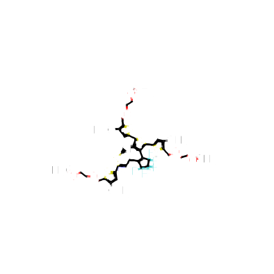 C#CS/C(=C\CC1=C(c2cc(-c3cc(C)c(COCCOC)s3)sc2-c2cc(C)c(COCCOC)s2)C(F)(F)C(F)(F)C1(F)F)c1cc(C)c(COCCOC)s1